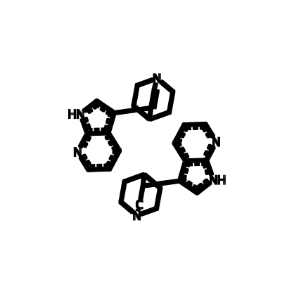 C1=C(c2c[nH]c3ncccc23)C2CCN1CC2.c1cnc2[nH]cc(C3CN4CCC3CC4)c2c1